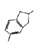 CCOC(=O)C1Cc2ccc(OC)cc2C1